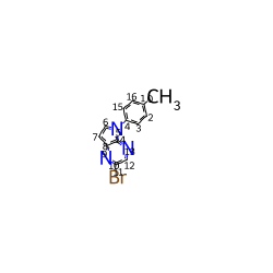 Cc1ccc(-n2ccc3nc(Br)cnc32)cc1